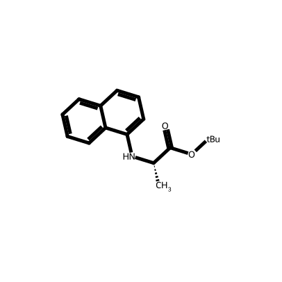 C[C@H](Nc1cccc2ccccc12)C(=O)OC(C)(C)C